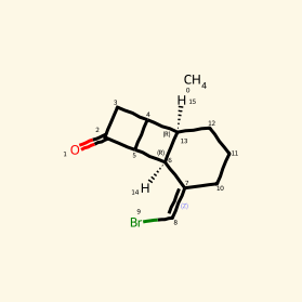 C.O=C1CC2C1[C@@H]1/C(=C\Br)CCC[C@H]21